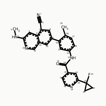 CNc1cc2c(C#N)cc(-c3cc(NC(=O)c4ccnc(C5(F)CC5)c4)ccc3C)cc2cn1